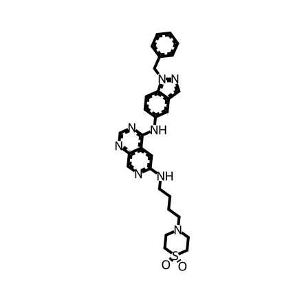 O=S1(=O)CCN(CCCCNc2cc3c(Nc4ccc5c(cnn5Cc5ccccc5)c4)ncnc3cn2)CC1